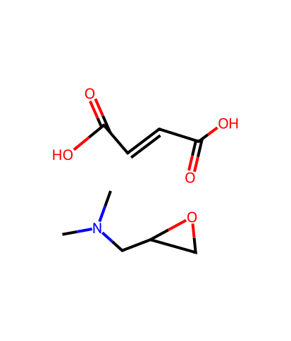 CN(C)CC1CO1.O=C(O)C=CC(=O)O